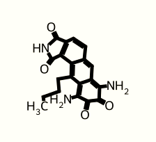 CCCCc1c2c(N)c(=O)c(=O)c(N)c2cc2ccc3c(=O)[nH]c(=O)c3c12